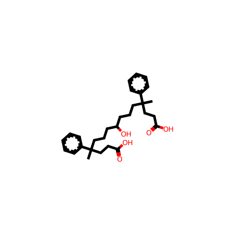 CC(CCCC(O)CCCC(C)(CCC(=O)O)c1ccccc1)(CCC(=O)O)c1ccccc1